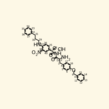 Cl.N[C@@H](Cc1ccc(OCc2ccccc2)cc1)C(=O)NS(=O)(=O)c1ccc(NCCCc2ccccc2)c([N+](=O)[O-])c1